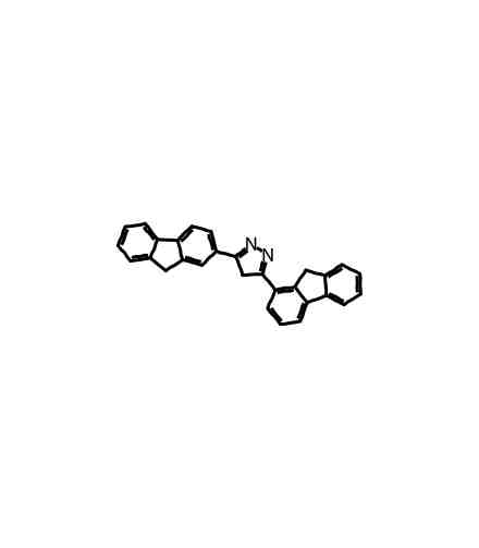 c1ccc2c(c1)Cc1cc(C3=NN=C(c4cccc5c4Cc4ccccc4-5)C3)ccc1-2